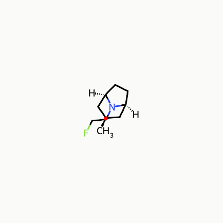 C[C@H]1C[C@H]2CC[C@@H](C1)N2CCF